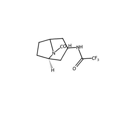 O=C(O)N1C2CC[C@@H]1CC(NC(=O)C(F)(F)F)C2